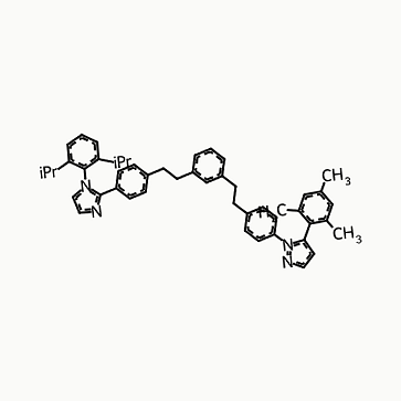 Cc1cc(C)c(-c2ccnn2-c2ccc(CCc3cccc(CCc4ccc(-c5nccn5-c5c(C(C)C)cccc5C(C)C)cc4)c3)cc2)c(C)c1